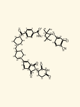 CC1(C)[C@H](NC(=O)c2ccc(C(=O)N3CCN(CC4CCN(c5ccc6c(c5)C(=O)N(C5CCC(=O)NC5=O)C6=O)CC4)CC3)cc2)C(C)(C)[C@H]1Oc1ccc(C#N)c(Cl)c1